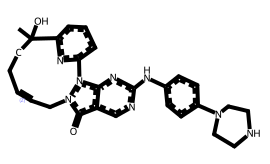 CC1(O)CC/C=C\Cn2c(=O)c3cnc(Nc4ccc(N5CCNCC5)cc4)nc3n2-c2cccc1n2